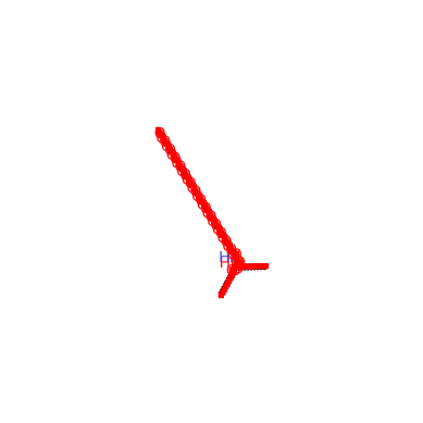 CCCCCCCCCCCCCCCCCC(=O)OC[C@H](COP(=O)(O)OCCNC(=O)OCCOCCOCCOCCOCCOCCOCCOCCOCCOCCOCCOCCOCCOCCOCCOCCOCCOCCOCCOCCOCCOCCOCCOCCOCCOCCOCCOCCOCCOCCC)OC(=O)CCCCCCCCCCCCCCCCC